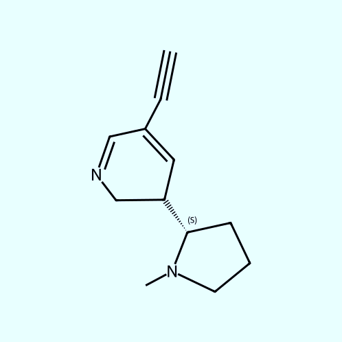 C#CC1=CC([C@@H]2CCCN2C)CN=C1